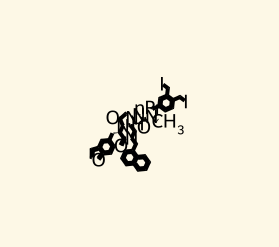 CCCN(C(=O)N(C)Cc1ccc(CI)c(CI)c1)N1CC(=O)N2[C@@H](Cc3ccc4occc4c3)C(=O)N(Cc3cccc4ccccc34)C[C@@H]21